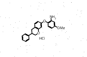 COc1ccc(Oc2ccc3c(c2)OCC(c2ccccc2)C3)c(N)c1.Cl